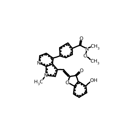 CON(C)C(=O)c1ccc(-c2ccnc3c2c(/C=C2\Oc4cccc(O)c4C2=O)cn3C)cc1